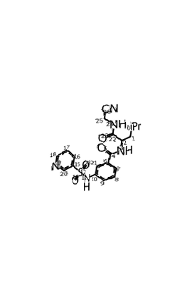 CC(C)CC(NC(=O)c1cccc(NS(=O)(=O)c2cccnc2)c1)C(=O)NCC#N